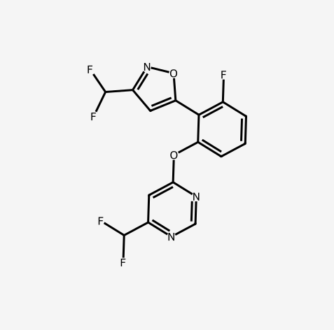 Fc1cccc(Oc2cc(C(F)F)ncn2)c1-c1cc(C(F)F)no1